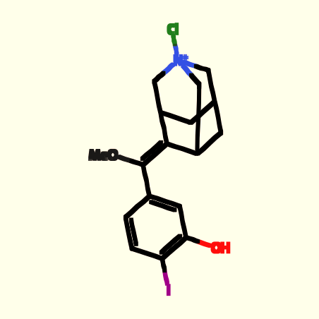 COC(=C1C2CC3CC1C[N+](Cl)(C3)C2)c1ccc(I)c(O)c1